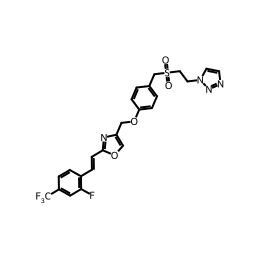 O=S(=O)(CCn1ccnn1)Cc1ccc(OCc2coc(/C=C/c3ccc(C(F)(F)F)cc3F)n2)cc1